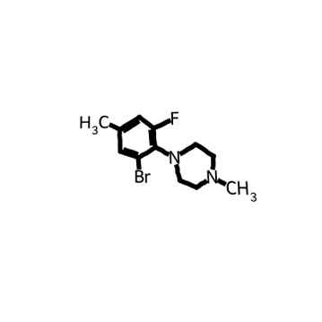 Cc1cc(F)c(N2CCN(C)CC2)c(Br)c1